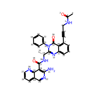 CC(=O)NCC#Cc1cccc2nc([C@@H](C)NC(=O)c3c(N)ncc4cccnc34)n(-c3ccccc3)c(=O)c12